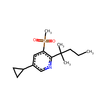 CCCC(C)(C)c1ncc(C2CC2)cc1S(C)(=O)=O